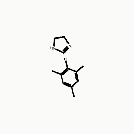 C1=NCCN1.Cc1cc(C)c(Cl)c(C)c1